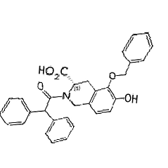 O=C(O)[C@@H]1Cc2c(ccc(O)c2OCc2ccccc2)CN1C(=O)C(c1ccccc1)c1ccccc1